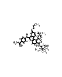 CCCOc1ccc(-c2cccc(C(=O)N[C@H](CO)C(C)(C)C)c2C(=O)OS(C)(=O)=O)c(C(=O)Nc2ccc(C(=N)N)cc2)n1